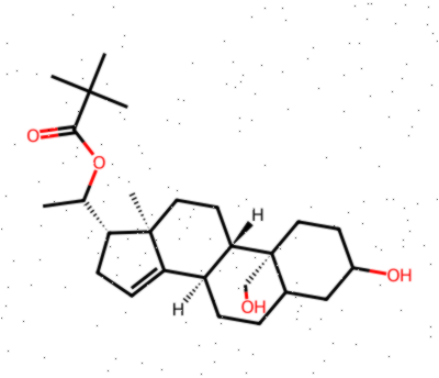 CC(OC(=O)C(C)(C)C)[C@H]1CC=C2[C@@H]3CCC4CC(O)CC[C@]4(CO)[C@H]3CC[C@@]21C